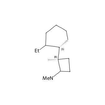 CCC1CCCC[C@@H]1[C@@]1(C)CCC1NC